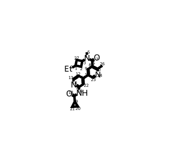 CCC1CC(N(C)C(=O)c2cc(-c3ccnc(NC(=O)C4CC4)c3)cnc2C)C1